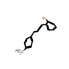 O=C(O)c1ccc(CC=Cc2ccccc2Br)cc1